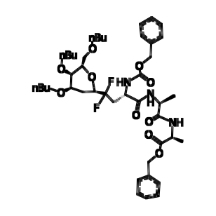 CCCCOC[C@H]1O[C@@H](C(F)(F)C[C@H](NC(=O)OCc2ccccc2)C(=O)N[C@@H](C)C(=O)N[C@@H](C)C(=O)OCc2ccccc2)C[C@@H](OCCCC)[C@H]1OCCCC